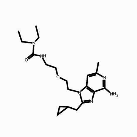 CCN(CC)C(=O)NCCOCCn1c(CC2CC2)nc2c(N)nc(C)cc21